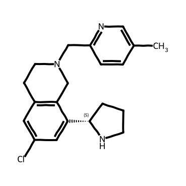 Cc1ccc(CN2CCc3cc(Cl)cc([C@@H]4CCCN4)c3C2)nc1